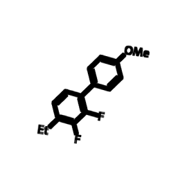 CCc1ccc(-c2ccc(OC)cc2)c(F)c1F